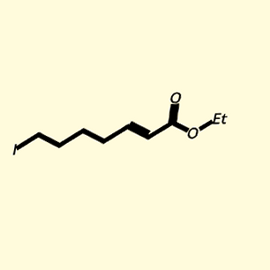 CCOC(=O)C=CCCCCI